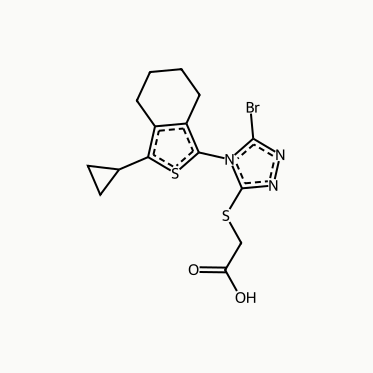 O=C(O)CSc1nnc(Br)n1-c1sc(C2CC2)c2c1CCCC2